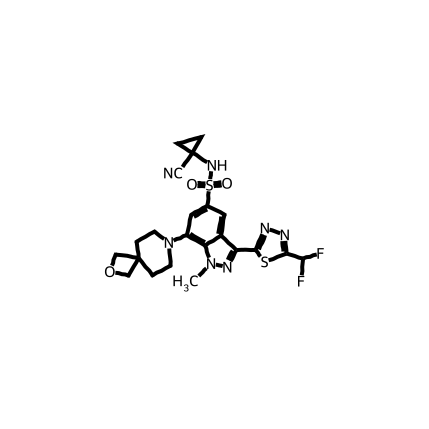 Cn1nc(-c2nnc(C(F)F)s2)c2cc(S(=O)(=O)NC3(C#N)CC3)cc(N3CCC4(CC3)COC4)c21